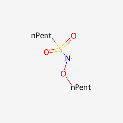 CCCCCO[N]S(=O)(=O)CCCCC